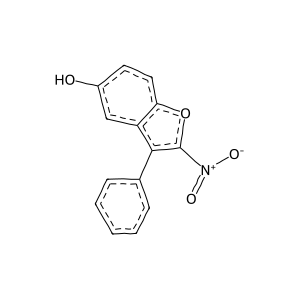 O=[N+]([O-])c1oc2ccc(O)cc2c1-c1ccccc1